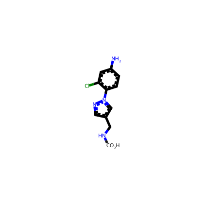 Nc1ccc(-n2cc(CNC(=O)O)cn2)c(Cl)c1